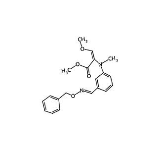 COC=C(C(=O)OC)N(C)c1cccc(C=NOCc2ccccc2)c1